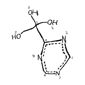 OC(O)(O)c1ncncn1